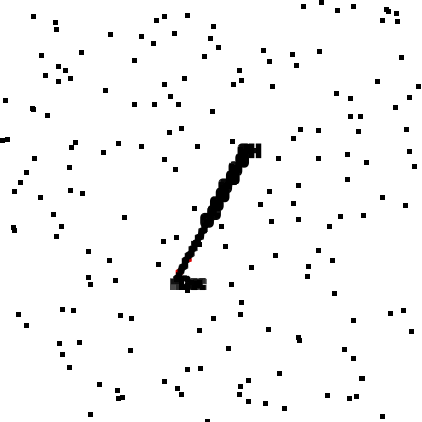 CCCCCCCCCCCCCCCCCCCCCCCCCCCCCCOCCOCCOCCOCCOCCOCCOCCOCCO